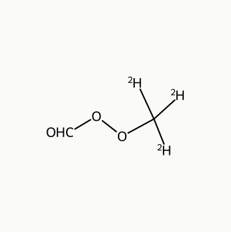 [2H]C([2H])([2H])OOC=O